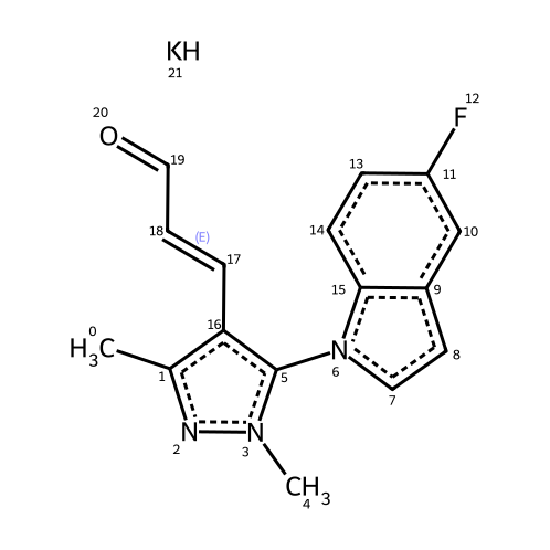 Cc1nn(C)c(-n2ccc3cc(F)ccc32)c1/C=C/C=O.[KH]